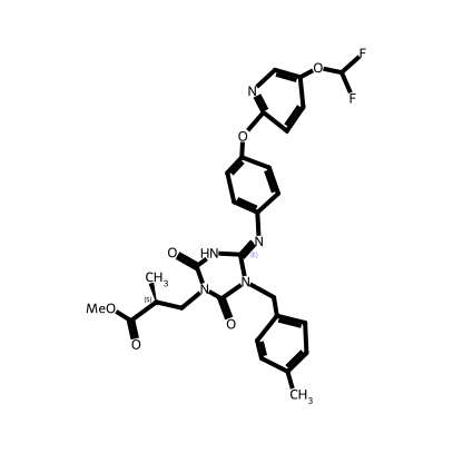 COC(=O)[C@@H](C)Cn1c(=O)[nH]/c(=N\c2ccc(Oc3ccc(OC(F)F)cn3)cc2)n(Cc2ccc(C)cc2)c1=O